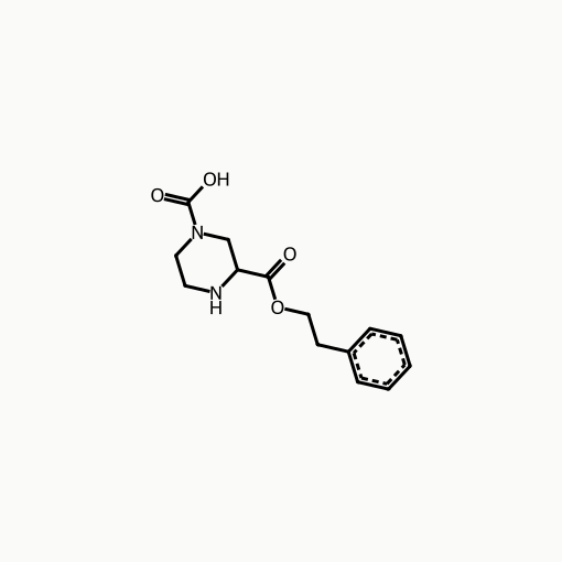 O=C(OCCc1ccccc1)C1CN(C(=O)O)CCN1